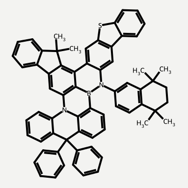 CC1(C)CCC(C)(C)c2cc(N3B4c5cccc6c5N(c5ccccc5C6(c5ccccc5)c5ccccc5)c5cc6c(c(c54)-c4cc5sc7ccccc7c5cc43)C(C)(C)c3ccccc3-6)ccc21